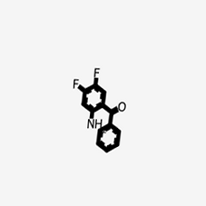 Nc1cc(F)c(F)cc1C(=O)c1ccccc1